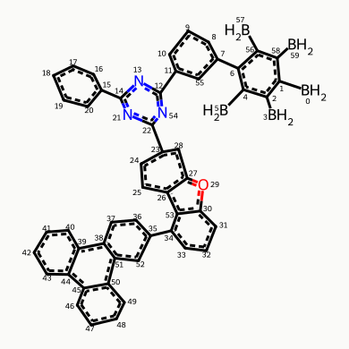 Bc1c(B)c(B)c(-c2cccc(-c3nc(-c4ccccc4)nc(-c4ccc5c(c4)oc4cccc(-c6ccc7c8ccccc8c8ccccc8c7c6)c45)n3)c2)c(B)c1B